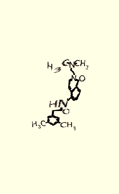 Cc1cc(C)cc(CC(=O)Nc2cccc3c(=O)n(CCN(C)C)ccc23)c1